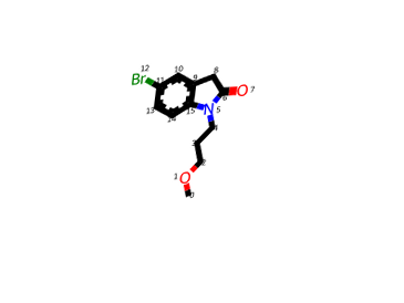 COCCCN1C(=O)Cc2cc(Br)ccc21